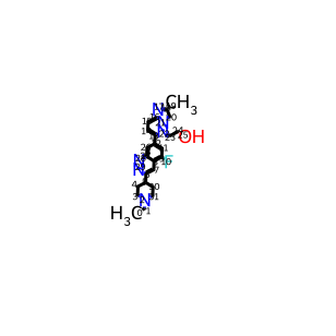 CCN1CCC(c2cc3c(F)cc(C4=CC=C5N=C(C)CN5N4CCO)cc3nn2)CC1